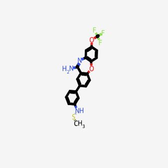 CSNc1cccc(-c2ccc3c(c2)C(N)=Nc2cc(OC(F)(F)F)ccc2O3)c1